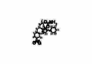 CC(C)(C[C@H](Cc1ccc([N+](=O)[O-])cc1)c1nc(-c2ccccc2)cs1)OC(N)=O